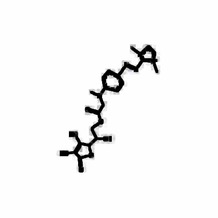 CN(CC(=O)OCC(O)C1OC(=O)C(O)=C1O)c1ccc(/N=N/c2n(C)cc[n+]2C)cc1